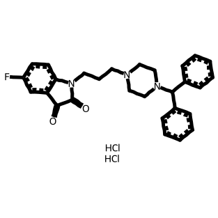 Cl.Cl.O=C1C(=O)N(CCCN2CCN(C(c3ccccc3)c3ccccc3)CC2)c2ccc(F)cc21